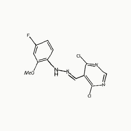 COc1cc(F)ccc1N/N=C/c1c(Cl)ncnc1Cl